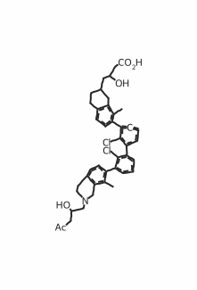 CC(=O)CC(O)CN1CCc2ccc(-c3cccc(-c4cccc(-c5ccc6c(c5C)CC(CC(O)CC(=O)O)CC6)c4Cl)c3Cl)c(C)c2C1